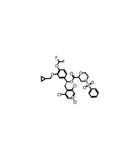 O=C(O[C@@H](Cc1c(Cl)c[n+]([O-])cc1Cl)c1ccc(OC(F)F)c(OCC2CC2)c1)C1CN(S(=O)(=O)c2ccccc2)CCO1